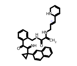 C=C(NC/C=C/C1=CC=CCN1)C(=O)NCc1ccccc1C(=O)C(=N)C1(c2ccc3ccccc3c2)CC1